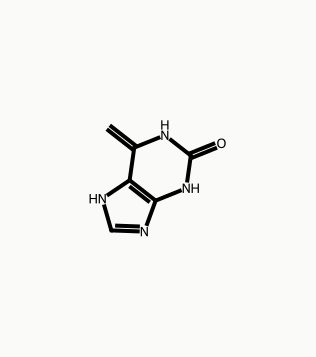 C=C1NC(=O)Nc2nc[nH]c21